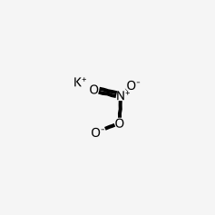 O=[N+]([O-])O[O-].[K+]